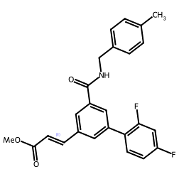 COC(=O)/C=C/c1cc(C(=O)NCc2ccc(C)cc2)cc(-c2ccc(F)cc2F)c1